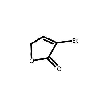 CCC1=CCOC1=O